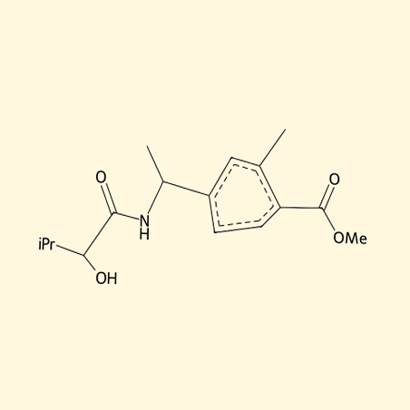 COC(=O)c1ccc(C(C)NC(=O)C(O)C(C)C)cc1C